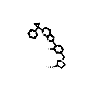 O=C(O)C1CCN(Cc2ccc(-c3nc4ccc(C5(c6ccccc6)C=C5)nc4s3)c(F)c2)C1